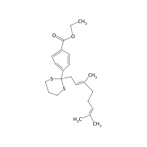 CCOC(=O)c1ccc(C2(C/C=C(\C)CCC=C(C)C)SCCCS2)cc1